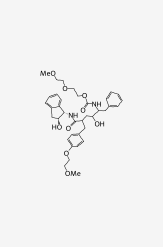 COCCOCCOC(=O)NC(Cc1ccccc1)C(O)CC(Cc1ccc(OCCOC)cc1)C(=O)N[C@H]1c2ccccc2C[C@@H]1O